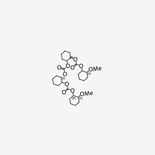 CO[C@H]1CCCCC1OC(=O)O[C@@H]1CCCCC1OC(=O)O[C@H]1CCCCC1OC(=O)O[C@@H]1CCCC[C@@H]1OC